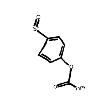 CCCC(=O)Oc1ccc([S+]=O)cc1